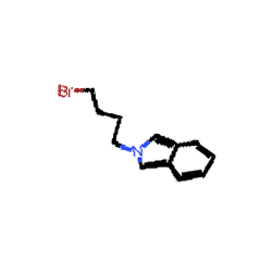 BrCCCCn1cc2ccccc2c1